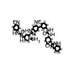 CN1CC[C@@H](NC(=O)Nc2ccc(C#N)c(-c3ccc4[nH]c([C@H]5C[C@H](NC(=O)Nc6ccc(C#N)cc6)CCN5C)nc4c3)c2)C[C@@H]1c1nc2ccccc2[nH]1